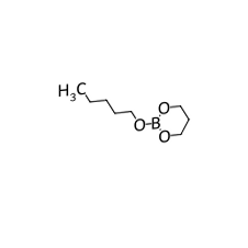 CCCCCOB1OCCCO1